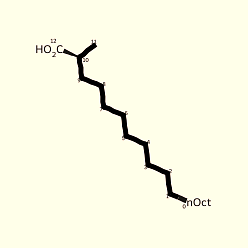 CCCCCCCCCCCCCCCC[CH][C@H](C)C(=O)O